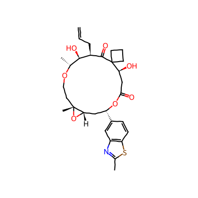 C=CC[C@H]1C(=O)C2(CCC2)[C@@H](O)CC(=O)O[C@H](c2ccc3sc(C)nc3c2)C[C@@H]2O[C@]2(C)CCO[C@H](C)[C@H]1O